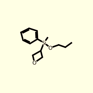 CCCO[Si](C)(c1ccccc1)C1COC1